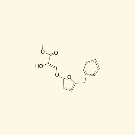 COC(=O)C(O)=COc1ccc(Cc2ccccc2)o1